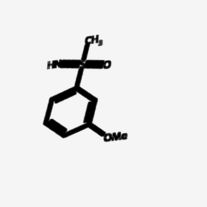 COc1cccc(S(C)(=N)=O)c1